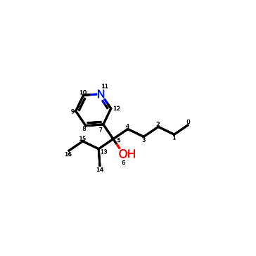 CCCCCC(O)(c1cccnc1)C(C)CC